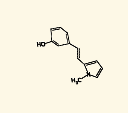 Cn1cccc1/C=C/c1cccc(O)c1